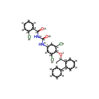 CC(Oc1c(Cl)cc(NC(=O)NC(=O)c2ccccc2Cl)cc1Cl)c1ccccc1-c1ccccc1